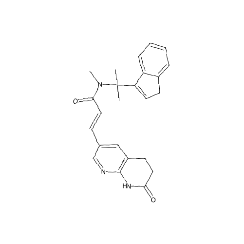 CN(C(=O)C=Cc1cnc2c(c1)CCC(=O)N2)C(C)(C)C1=CCc2ccccc21